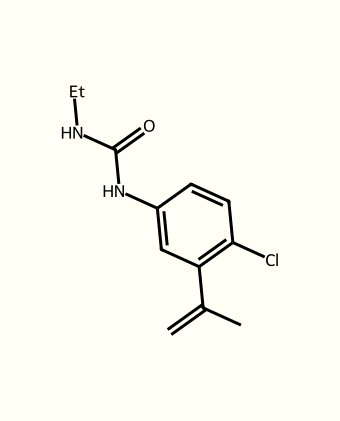 C=C(C)c1cc(NC(=O)NCC)ccc1Cl